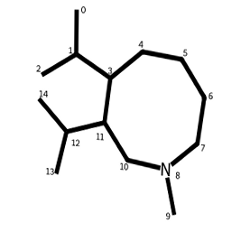 CC(C)C1CCCCN(C)CC1C(C)C